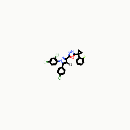 CCc1c(-c2nnc(C3(c4ccccc4F)CC3)o2)nn(-c2ccc(Cl)cc2Cl)c1-c1ccc(Cl)cc1